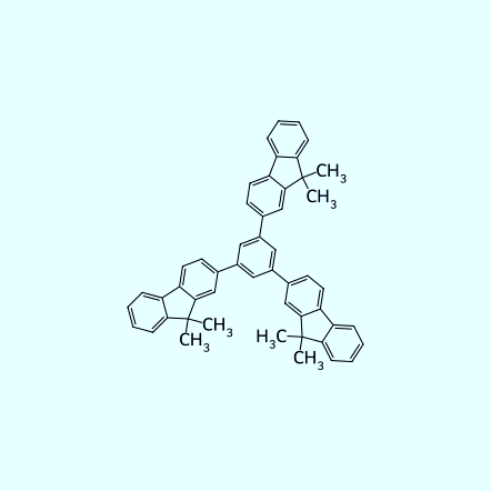 CC1(C)c2ccccc2-c2ccc(-c3cc(-c4ccc5c(c4)C(C)(C)c4ccccc4-5)cc(-c4ccc5c(c4)C(C)(C)c4ccccc4-5)c3)cc21